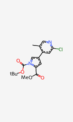 COC(=O)c1cc(-c2cc(Cl)ncc2C)cn1C(=O)OC(C)(C)C